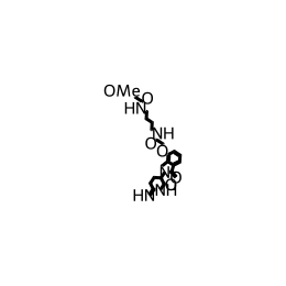 COCC(=O)NCCCCNC(=O)COc1cccc2c1CN(C1CCC(=N)NC1=O)C2=O